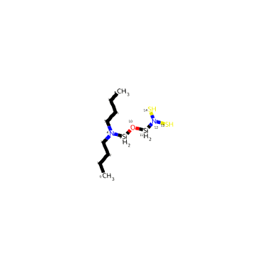 CCCCN(CCCC)[SiH2]O[SiH2]N(S)S